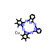 Cc1c(C)c(C)c2c(c1C)-c1nc-2nc2[nH]c(nc3nc(nc4[nH]c(n1)c1ccccc41)-c1ccccc1-3)c1c(C)c(C)c(C)c(C)c21.[Cu]